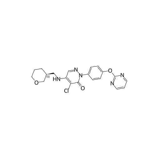 O=c1c(Cl)c(NC[C@@H]2CCCOC2)cnn1-c1ccc(Oc2ncccn2)cc1